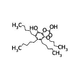 CCCCCc1c(O)c(OC(=O)O)c(OCCCC)c(CCCCC)c1CCCCC